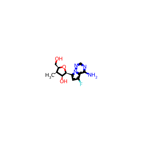 C[C@H]1[C@H](O)[C@H](c2cc(F)c3c(N)ncnn23)O[C@@H]1CO